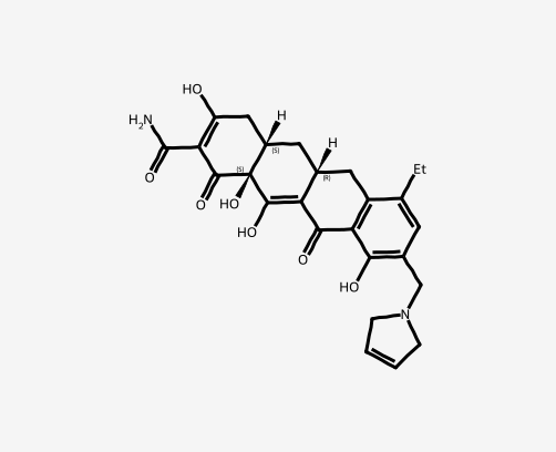 CCc1cc(CN2CC=CC2)c(O)c2c1C[C@H]1C[C@H]3CC(O)=C(C(N)=O)C(=O)[C@@]3(O)C(O)=C1C2=O